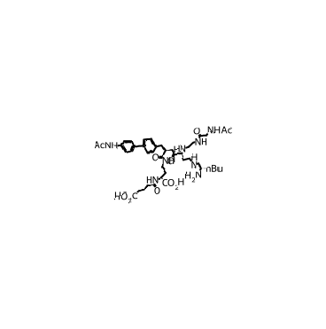 CCCC[C@H](N)CNCC[C@H](NCCNC(=O)CNC(C)=O)C(=O)C[C@H](Cc1ccc(-c2ccc(NC(C)=O)cc2)cc1)C(=O)NCC[C@@H](NC(=O)CCCC(=O)O)C(=O)O